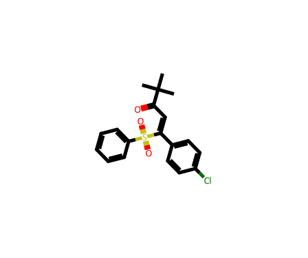 CC(C)(C)C(=O)C=C(c1ccc(Cl)cc1)S(=O)(=O)c1ccccc1